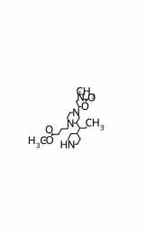 CCC(C1CCNCC1)C1CN(C2CN(C)C(=O)O2)CCN1CCCC(=O)OC